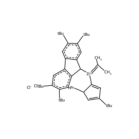 CCCC1C=C(C(C)(C)C)C=[C]1[Zr+2](=[C](C)C)[CH]1c2cc(C(C)(C)C)c(C(C)(C)C)cc2-c2cc(C(C)(C)C)c(C(C)(C)C)cc21.[Cl-].[Cl-]